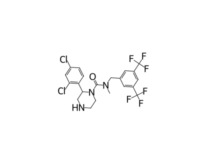 CN(Cc1cc(C(F)(F)F)cc(C(F)(F)F)c1)C(=O)N1CCNCC1c1ccc(Cl)cc1Cl